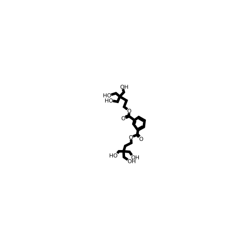 O=C(OCCC(CO)(CO)CO)c1cccc(C(=O)OCCC(CO)(CO)CO)c1